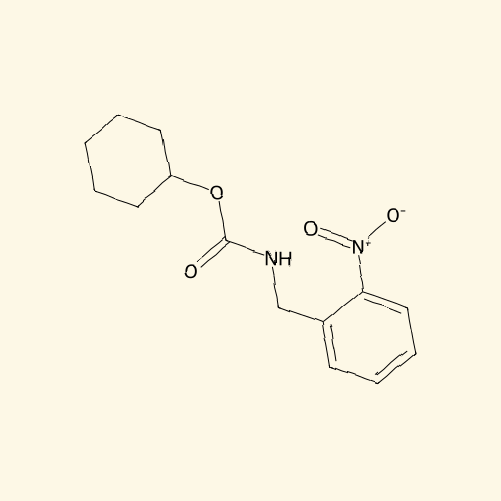 O=C(NCc1ccccc1[N+](=O)[O-])OC1CCCCC1